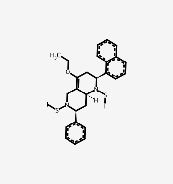 CCOC1=C2CN(SI)[C@H](c3ccccc3)C[C@@H]2N(SI)[C@H](c2cccc3ccccc23)C1